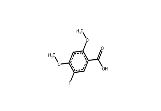 COc1cc(OC)c(C(=O)O)cc1F